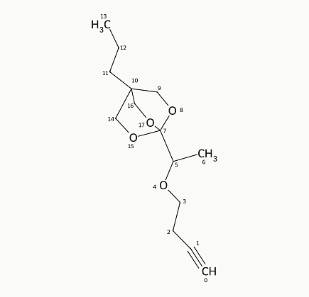 C#CCCOC(C)C12OCC(CCC)(CO1)CO2